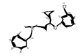 CN(CCC(Oc1cccc(Cl)c1)C1CC1)Cc1ccccc1